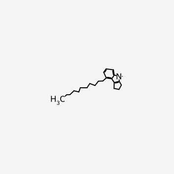 CCCCCCCCCCCc1cccc2c1C1=C(CCC1)[N]2